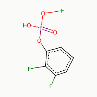 O=P(O)(OF)Oc1cccc(F)c1F